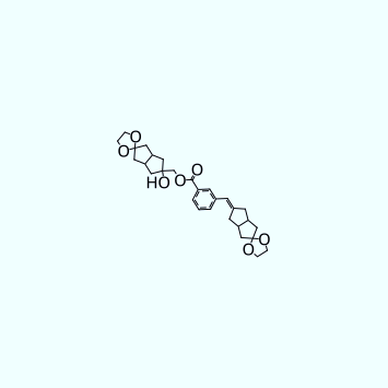 O=C(OCC1(O)CC2CC3(CC2C1)OCCO3)c1cccc(C=C2CC3CC4(CC3C2)OCCO4)c1